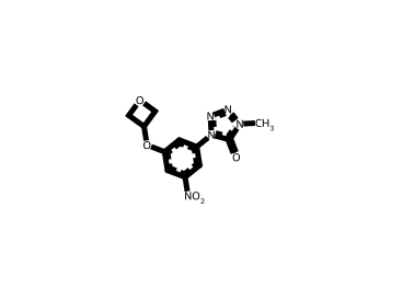 Cn1nnn(-c2cc(OC3COC3)cc([N+](=O)[O-])c2)c1=O